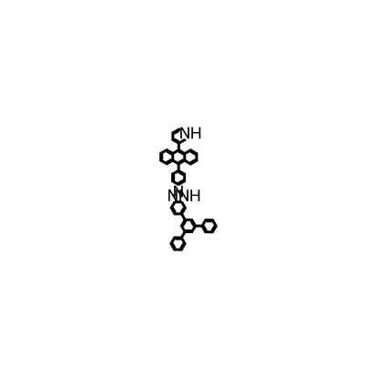 C1=CNCC(c2c3ccccc3c(-c3ccc(N4N=C5C=CC(c6cc(-c7ccccc7)cc(-c7ccccc7)c6)=CC5N4)cc3)c3ccccc23)=C1